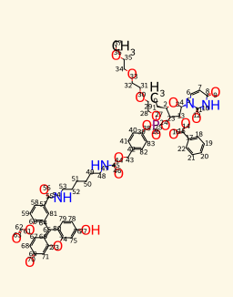 CC[C@H]1O[C@@H](n2ccc(=O)[nH]c2=O)C(OC(=O)c2ccccc2)C1OP(=O)(OCCOCCOCCOC)Oc1ccc(COC(=O)NCCCCCCNC(=O)c2ccc(OC=O)c(-c3c4ccc(=O)cc-4oc4cc(O)ccc34)c2)cc1